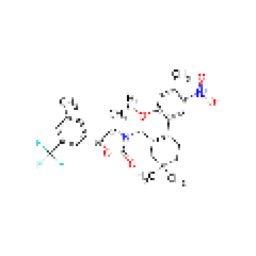 COc1cc(C)c([N+](=O)[O-])cc1C1=C(CN2C(=O)O[C@H](c3cc(C)cc(C(F)(F)F)c3)[C@@H]2C)CC(C)(C)CC1